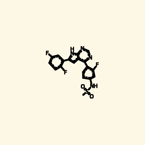 CS(=O)(=O)Nc1ccc(-c2ncnc3[nH]c(-c4cc(F)ccc4F)cc23)c(F)c1